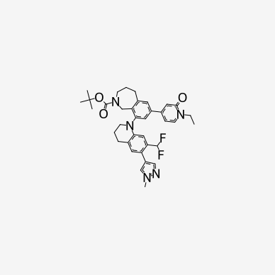 CCn1ccc(-c2cc3c(c(N4CCCc5cc(-c6cnn(C)c6)c(C(F)F)cc54)c2)CN(C(=O)OC(C)(C)C)CCC3)cc1=O